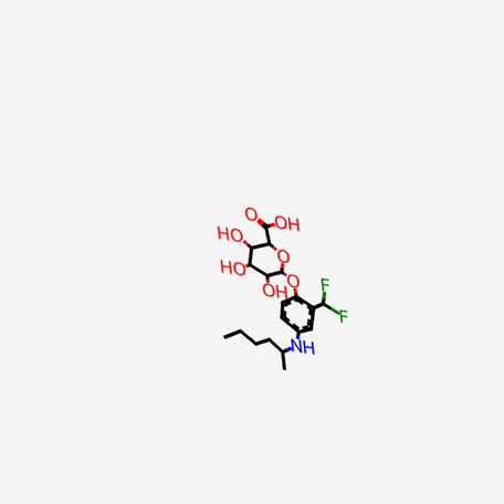 CCCCC(C)Nc1ccc(OC2OC(C(=O)O)C(O)C(O)C2O)c(C(F)F)c1